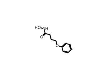 O=C(CCCOc1cc[c]cc1)NO